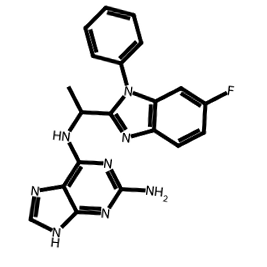 CC(Nc1nc(N)nc2[nH]cnc12)c1nc2ccc(F)cc2n1-c1ccccc1